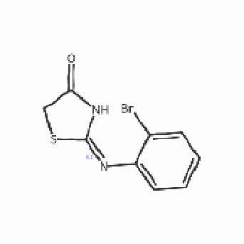 O=C1CS/C(=N/c2ccccc2Br)N1